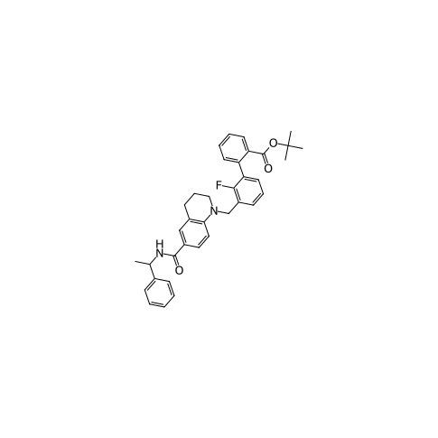 CC(NC(=O)c1ccc2c(c1)CCCN2Cc1cccc(-c2ccccc2C(=O)OC(C)(C)C)c1F)c1ccccc1